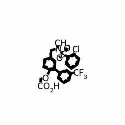 CN(Cc1ccc(OCC(=O)O)c(-c2cccc(C(F)(F)F)c2)c1)S(=O)(=O)c1ccccc1Cl